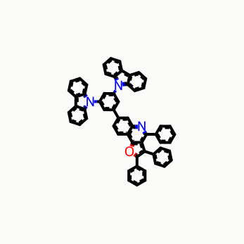 c1ccc(-c2oc3c(c(-c4ccccc4)nc4cc(-c5cc(-n6c7ccccc7c7ccccc76)cc(-n6c7ccccc7c7ccccc76)c5)ccc43)c2-c2ccccc2)cc1